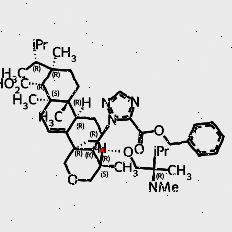 CN[C@@](C)(CO[C@H]1[C@H](n2ncnc2C(=O)OCc2ccccc2)C[C@@]23COC[C@]1(C)[C@@H]2CC[C@H]1C3=CC[C@@]2(C)[C@H](C(=O)O)[C@@](C)([C@H](C)C(C)C)CC[C@]12C)C(C)C